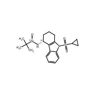 CC(C)(C)[S@@+]([O-])N[C@@H]1CCCc2c1c1ccccc1n2S(=O)(=O)C1CC1